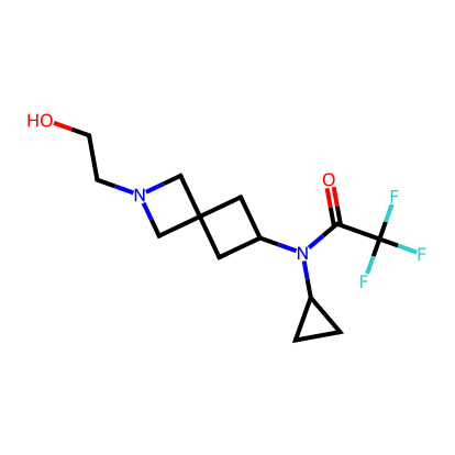 O=C(N(C1CC1)C1CC2(C1)CN(CCO)C2)C(F)(F)F